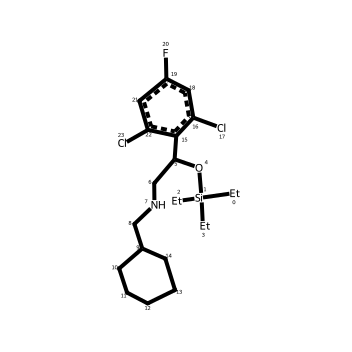 CC[Si](CC)(CC)OC(CNCC1CCCCC1)c1c(Cl)cc(F)cc1Cl